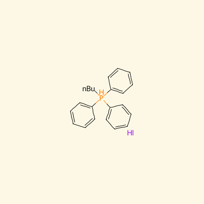 CCCC[PH](c1ccccc1)(c1ccccc1)c1ccccc1.I